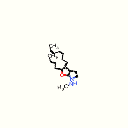 C/C=C\C=C/C\C=c1/c(=C\C=C\C)oc2c1ccn2NC